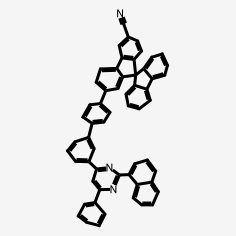 N#Cc1ccc2c(c1)-c1ccc(-c3ccc(-c4cccc(-c5cc(-c6ccccc6)nc(-c6cccc7ccccc67)n5)c4)cc3)cc1C21c2ccccc2-c2ccccc21